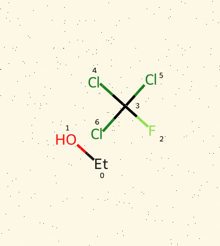 CCO.FC(Cl)(Cl)Cl